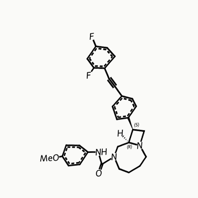 COc1ccc(NC(=O)N2CCCCN3C[C@H](c4ccc(C#Cc5ccc(F)cc5F)cc4)[C@@H]3C2)cc1